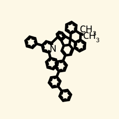 CC1(C)c2ccccc2C2(c3ccccc31)c1cccc(-c3cc(-c4ccccc4)cc(-c4ccccc4)n3)c1C1C=C(c3ccc(-c4cccc(-c5ccccc5)c4)cc3)C=CC12